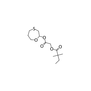 CCC(C)(C)C(=O)OCC(=O)OC1CSCCCO1